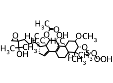 CO[C@@H]1C[C@]2(C)C3=C(CC[C@H]2C(C)(C)[C@H]1OSOOO)C1=CC[C@H]([C@H](C)CCC2(C(C)(C)O)CO2)[C@@]1(C)[C@@H](OC(C)=O)[C@@H]3O